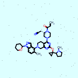 C=CC(=O)N1CCN(c2nc(OC3(C4CCCN4C)CC3)nc3c2CCN(c2c(C)ccc4c2cnn4C2CCCCO2)C3)C[C@@H]1CC#N